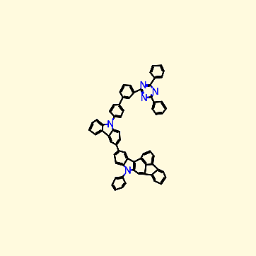 c1ccc(-c2nc(-c3ccccc3)nc(-c3cccc(-c4ccc(-n5c6ccccc6c6cc(-c7ccc8c(c7)c7c9cccc%10c9c(cc7n8-c7ccccc7)-c7ccccc7-%10)ccc65)cc4)c3)n2)cc1